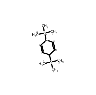 CS(C)(C)C1C=CN(S(C)(C)C)C=C1